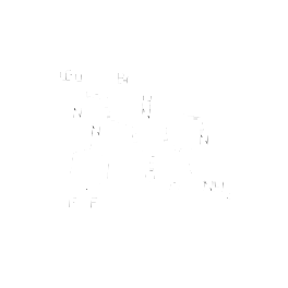 CC(C)(C)c1nn(C2CCC(F)(F)CC2)c(-c2cc(=O)c3c(C(N)=O)nccc3[nH]2)c1Br